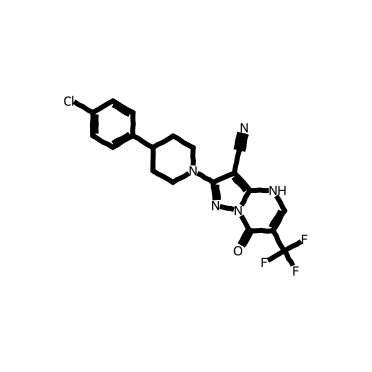 N#Cc1c(N2CCC(c3ccc(Cl)cc3)CC2)nn2c(=O)c(C(F)(F)F)c[nH]c12